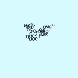 CCCCCCCCCCCC(=O)[O-].CCCCCCCCCCCC(=O)[O-].O=S(=O)([O-])[O-].O=S(=O)([O-])[O-].[Mg+2].[Mg+2].[Mg+2]